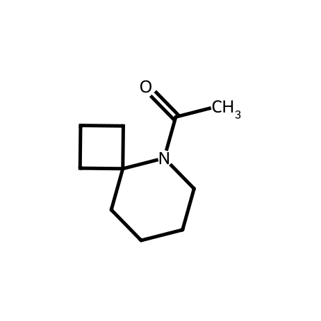 CC(=O)N1CCCCC12CCC2